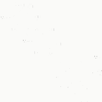 COc1cc(OCCCOc2c(C)c(C)c(OC(=O)c3c(C)c(C)c(C(=O)O)c(OC)c3C)c(OC)c2C)c(C(c2ccccc2)c2ccccc2)cc1OC